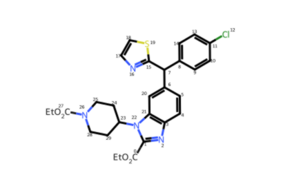 CCOC(=O)c1nc2ccc(C(c3ccc(Cl)cc3)c3nccs3)cc2n1C1CCN(C(=O)OCC)CC1